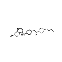 CCCCN1CCC(NCc2ccc(Nc3ccnc4cc(Cl)ccc34)cc2)CC1